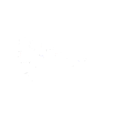 CN(C)CCCOCc1nc2c(s1)-c1ccccc1Oc1ccc(Cl)cc1-2